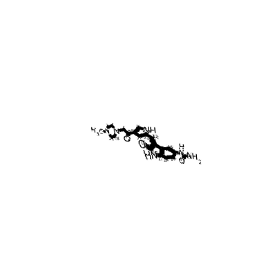 CN1CCN(CC(=O)c2c[nH]c(C=C3C(=O)Nc4ccc(NC(N)=O)cc43)c2)CC1